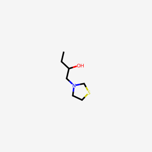 CCC(O)CN1CCSC1